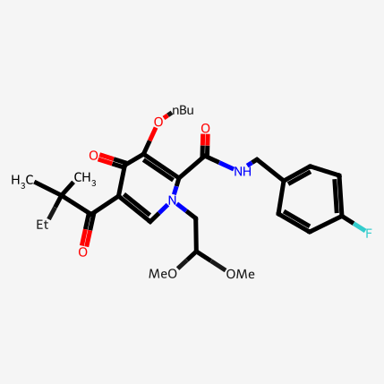 CCCCOc1c(C(=O)NCc2ccc(F)cc2)n(CC(OC)OC)cc(C(=O)C(C)(C)CC)c1=O